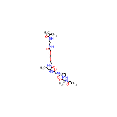 C=CC(=O)N[C@@H](C)C(=O)N1CCC[C@H]1C(=O)NCC(=O)N[C@@H](CCC)C(=O)NCCOCCOCC(=O)NCCCNC(=O)C(=C)C